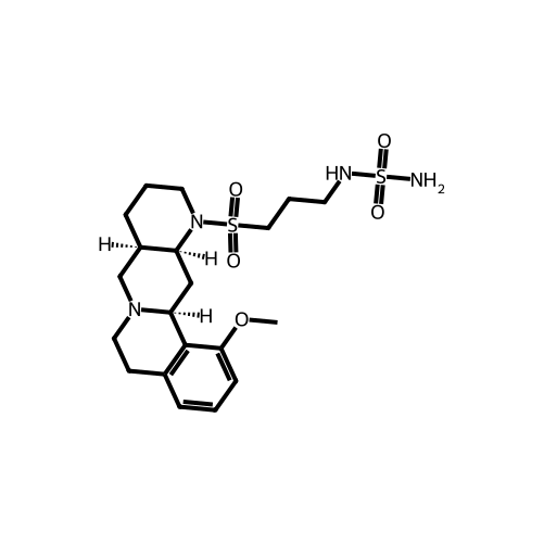 COc1cccc2c1[C@@H]1C[C@H]3[C@H](CCCN3S(=O)(=O)CCCNS(N)(=O)=O)CN1CC2